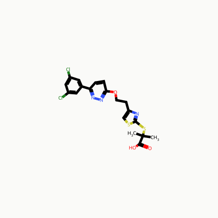 CC(C)(Sc1nc(CCOc2ccc(-c3cc(Cl)cc(Cl)c3)nn2)cs1)C(=O)O